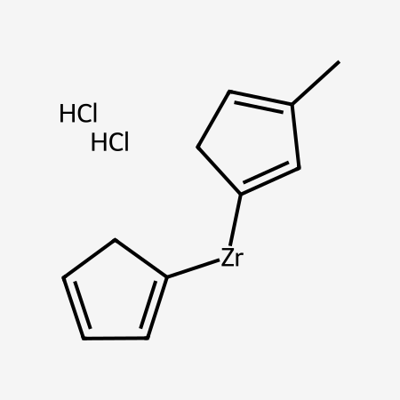 CC1=CC[C]([Zr][C]2=CC=CC2)=C1.Cl.Cl